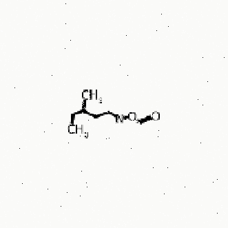 CCC(C)CC[N]O[C]=O